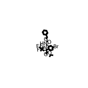 CC(C)OC(=O)[C@](CC(C)(C)C(F)(F)F)(NC(=S)NC(=O)OCc1ccccc1)c1ccc(Br)cc1